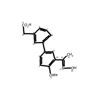 COc1ccc(-c2cccc(CC(=O)O)c2)cc1C(C)=NO